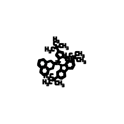 CC1C=C(C(C)(C)C)C=[C]1[Zr](=[C](Cc1ccccc1)Cc1ccccc1)[CH]1c2cc(C(C)(C)C)ccc2-c2ccc(C(C)(C)C)cc21